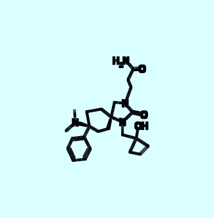 CN(C)[C@]1(c2ccccc2)CC[C@@]2(CC1)CN(CCC(N)=O)C(=O)N2CC1(O)CCC1